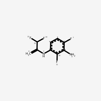 C=C(Nc1ccc(F)c(N)c1F)C(F)F